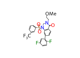 COCCN1CN(S(=O)(=O)c2cccc(C(F)(F)F)c2)c2cc(-c3cc(F)ccc3F)ccc2C1=O